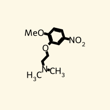 COc1ccc([N+](=O)[O-])cc1OCCN(C)C